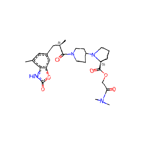 Cc1cc(C[C@@H](C)C(=O)N2CCC(N3CCC[C@H]3C(=O)OCC(=O)N(C)C)CC2)cc2oc(=O)[nH]c12